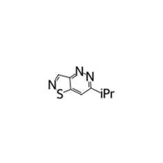 CC(C)c1cc2sncc2nn1